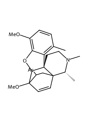 COc1ccc(C)c2c1OC1C3(OC)C=CC4(CC3C(C)=O)[C@@H](C)N(C)CC[C@]214